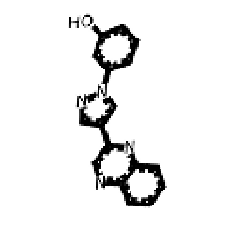 Oc1cccc(-n2cc(-c3cnc4ccccc4n3)cn2)c1